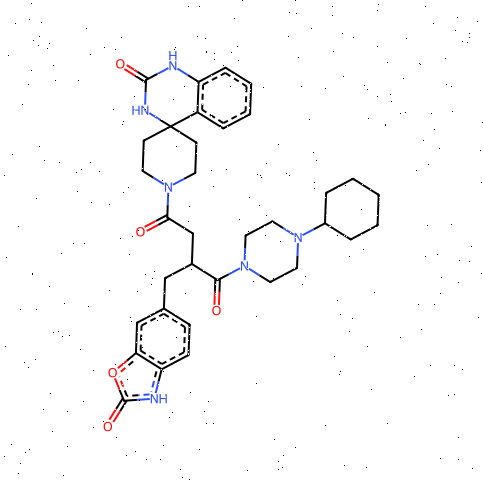 O=C1Nc2ccccc2C2(CCN(C(=O)CC(Cc3ccc4[nH]c(=O)oc4c3)C(=O)N3CCN(C4CCCCC4)CC3)CC2)N1